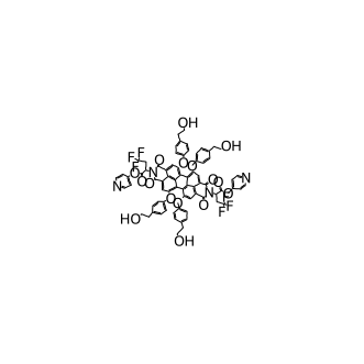 O=C(Oc1ccncc1)C(CC(F)(F)F)N1C(=O)c2cc(Oc3ccc(CCO)cc3)c3c4c(Oc5ccc(CCO)cc5)cc5c6c(cc(Oc7ccc(CCO)cc7)c(c7c(Oc8ccc(CCO)cc8)cc(c2c37)C1=O)c64)C(=O)N(C(CC(F)(F)F)C(=O)Oc1ccncc1)C5=O